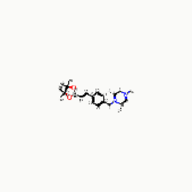 C[C@@H]1CN(C)C[C@H](C)N1Cc1ccc(/C=C/B2OC(C)(C)C(C)(C)O2)cc1